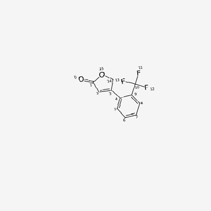 O=C1C=C(c2ccccc2C(F)(F)F)CO1